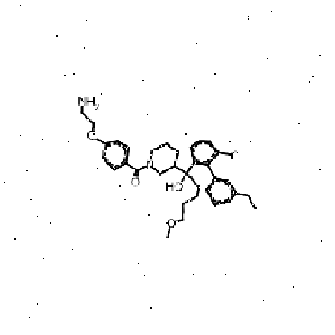 CCc1cccc(-c2c(Cl)cccc2[C@](O)(CCCCOC)C2CCCN(C(=O)c3ccc(OCCN)cc3)C2)c1